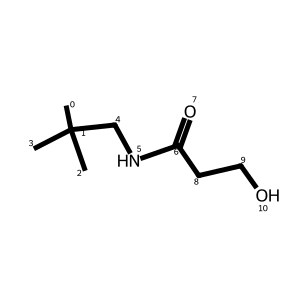 CC(C)(C)CNC(=O)CCO